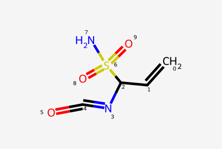 C=CC(N=C=O)S(N)(=O)=O